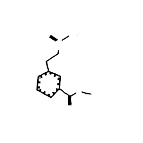 CCCCCCCCOC(=O)c1cccc(CC[PH](=O)OC)c1